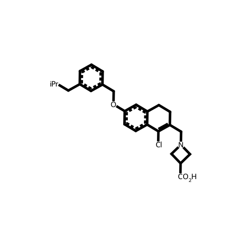 CC(C)Cc1cccc(COc2ccc3c(c2)CCC(CN2CC(C(=O)O)C2)=C3Cl)c1